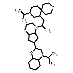 CC(C)N1CCC2(CCOCC2)C(CC(C)N2CCOC3CC(C4CN(C(C)C)C5CCCCC5O4)CC32)C1